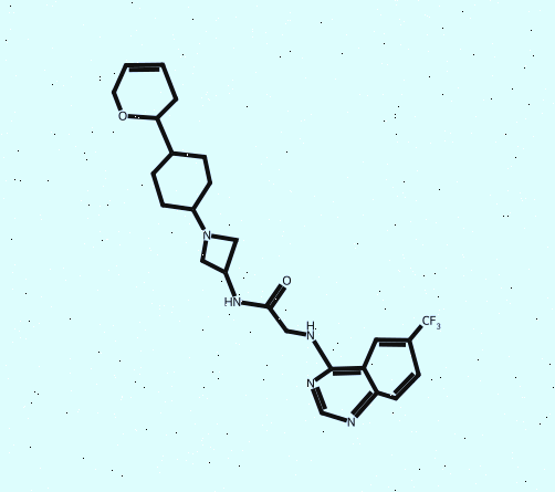 O=C(CNc1ncnc2ccc(C(F)(F)F)cc12)NC1CN(C2CCC(C3CC=CCO3)CC2)C1